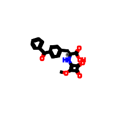 COc1c(N[C@@H](Cc2ccc(C(=O)c3ccccc3)cc2)C(=O)O)c(=O)c1=O